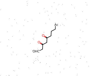 CC(=O)CCCC(=O)CC(=O)CC=O